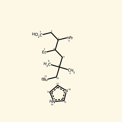 CCCC(CC(=O)O)C(CC)CC(C)(C)CC(C)(C)C.c1c[nH]cn1